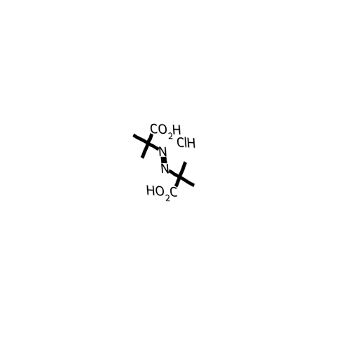 CC(C)(N=NC(C)(C)C(=O)O)C(=O)O.Cl